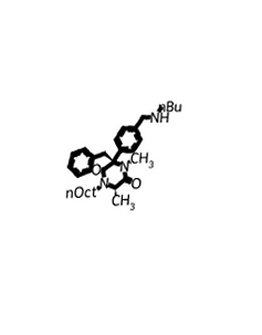 CCCCCCCCN1C(=O)[C@](Cc2ccccc2)(c2ccc(CNCCCC)cc2)N(C)C(=O)[C@@H]1C